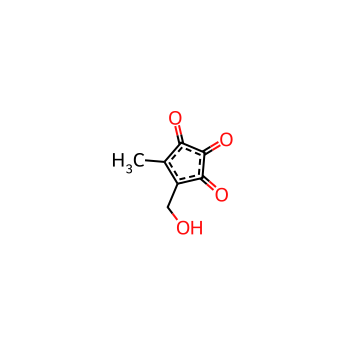 Cc1c(CO)c(=O)c(=O)c1=O